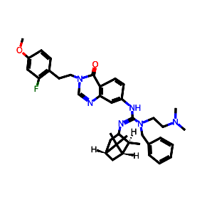 COc1ccc(CCn2cnc3cc(NC(=NC4C[C@H]5C[C@@H]([C@@H]4C)C5(C)C)N(CCN(C)C)Cc4ccccc4)ccc3c2=O)c(F)c1